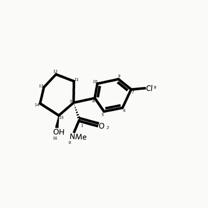 CNC(=O)[C@@]1(c2ccc(Cl)cc2)CCCC[C@@H]1O